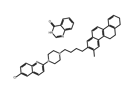 Cc1cc2c3c(ccc2cc1CCCCN1CCN(c2ccc4cc(Cl)ccc4n2)CC1)C1=C(CCC=C1)CC3.O=c1[nH]cnc2ccccc12